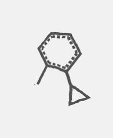 [CH2]c1ccccc1C1CC1